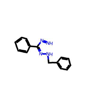 N=N/C(=N\NCc1ccccc1)c1ccccc1